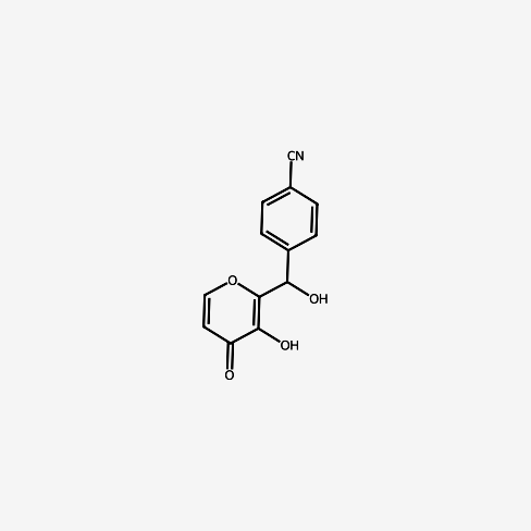 N#Cc1ccc(C(O)c2occc(=O)c2O)cc1